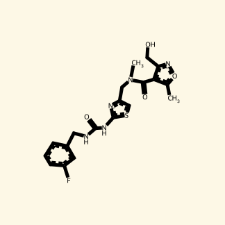 Cc1onc(CO)c1C(=O)N(C)Cc1csc(NC(=O)NCc2cccc(F)c2)n1